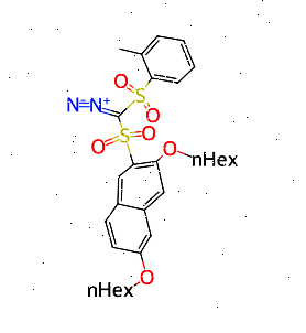 CCCCCCOc1ccc2cc(S(=O)(=O)C(=[N+]=[N-])S(=O)(=O)c3ccccc3C)c(OCCCCCC)cc2c1